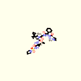 C=C[C@@H]1C[C@]1(NC(=O)[C@@H]1C[C@@]2(CN1C(=O)[C@@H](NC(=O)[C@@H](NC(=O)[C@H]1CCN1C(C)C)C1CCCCC1)C(C)(C)C)C(C)(C)C21CCC1)C(=O)NS(=O)(=O)N1CCCC1